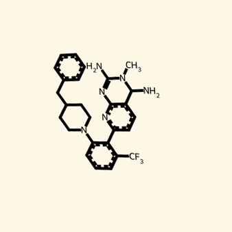 CN1C(N)=Nc2nc(-c3c(N4CCC(Cc5ccccc5)CC4)cccc3C(F)(F)F)ccc2C1N